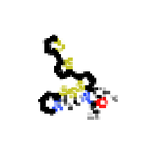 CCC(=O)N(C)C1(C)C=CC(c2ccc(-c3cccs3)s2)=S1SSc1ccccn1